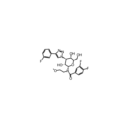 COCCN(C(=O)c1ccc(F)c(F)c1)[C@@H]1O[C@H](CO)[C@H](O)[C@H](n2cc(-c3cccc(F)c3)nn2)[C@H]1O